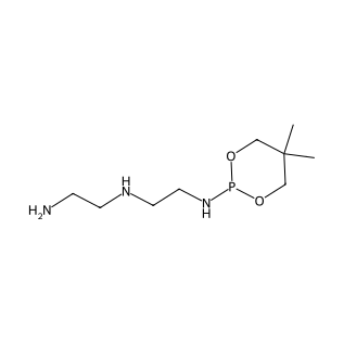 CC1(C)COP(NCCNCCN)OC1